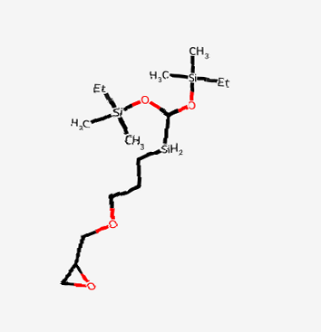 CC[Si](C)(C)OC(O[Si](C)(C)CC)[SiH2]CCCOCC1CO1